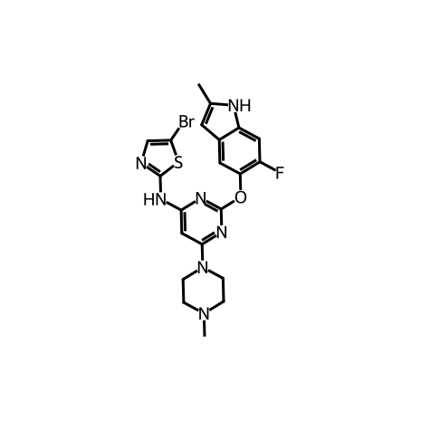 Cc1cc2cc(Oc3nc(Nc4ncc(Br)s4)cc(N4CCN(C)CC4)n3)c(F)cc2[nH]1